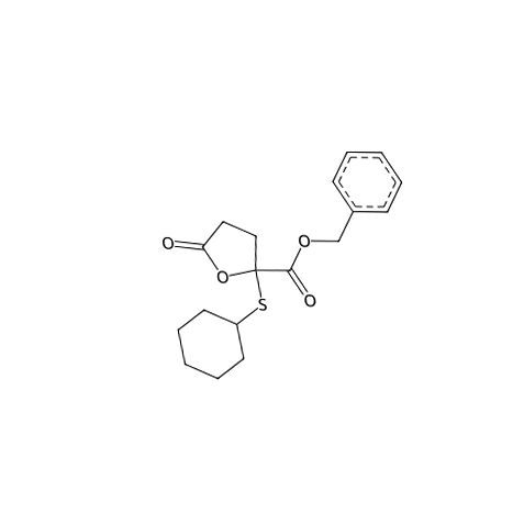 O=C1CCC(SC2CCCCC2)(C(=O)OCc2ccccc2)O1